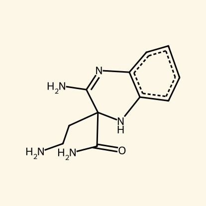 NCCC1(C(N)=O)Nc2ccccc2N=C1N